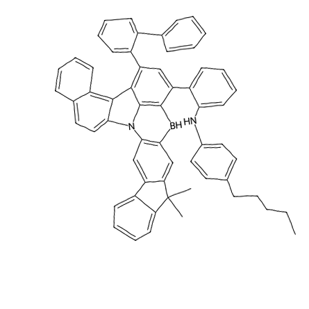 CCCCCc1ccc(Nc2ccccc2-c2cc(-c3ccccc3-c3ccccc3)c3c4c5ccccc5ccc4n4c3c2Bc2cc3c(cc2-4)-c2ccccc2C3(C)C)cc1